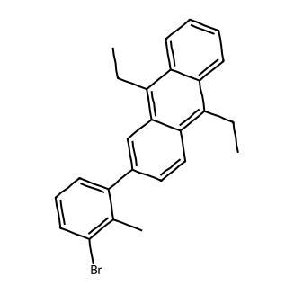 CCc1c2ccccc2c(CC)c2cc(-c3cccc(Br)c3C)ccc12